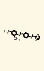 Cc1cc(N)ccc1/N=N/c1ccc(/N=N/c2nccs2)cc1